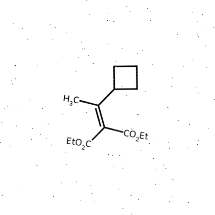 CCOC(=O)C(C(=O)OCC)=C(C)C1CCC1